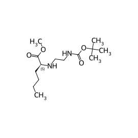 CCCC[C@H](NCCNC(=O)OC(C)(C)C)C(=O)OC